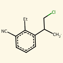 [CH2]C(CCl)c1cccc(C#N)c1CC